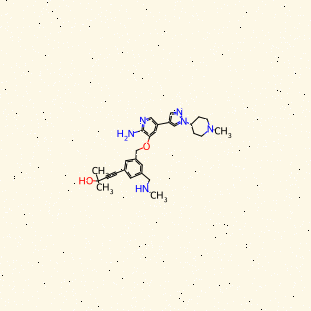 CNCc1cc(C#CC(C)(C)O)cc(COc2cc(-c3cnn(C4CCN(C)CC4)c3)cnc2N)c1